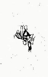 O=C1C2C3C[C@H](F)CN3C3(C(=O)Nc4c(Cl)cc(Cl)cc43)C2C(=O)N1c1cc(Cl)cc(Cl)c1O